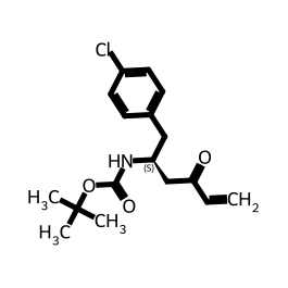 C=CC(=O)C[C@H](Cc1ccc(Cl)cc1)NC(=O)OC(C)(C)C